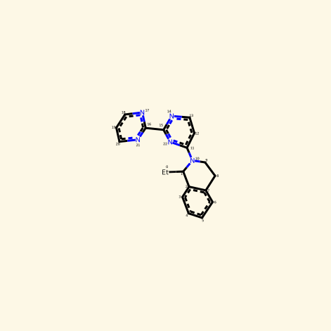 CCC1c2ccccc2CCN1c1ccnc(-c2ncccn2)n1